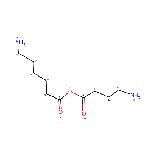 NCCCCCC(=O)OC(=O)CCCN